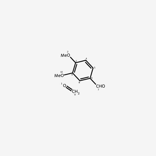 C=O.COc1ccc(C=O)cc1OC